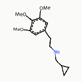 COc1cc(CCNCC2CC2)cc(OC)c1OC